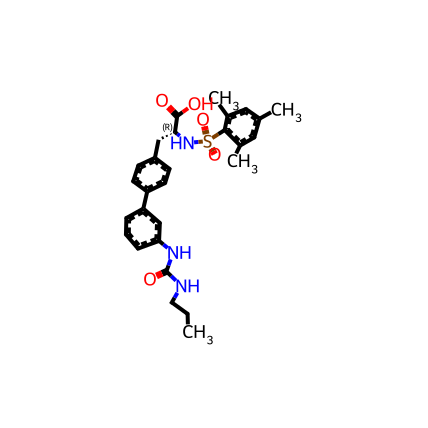 CCCNC(=O)Nc1cccc(-c2ccc(C[C@@H](NS(=O)(=O)c3c(C)cc(C)cc3C)C(=O)O)cc2)c1